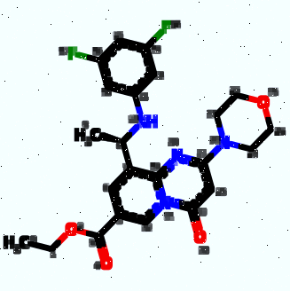 CCOC(=O)c1cc([C@@H](C)Nc2cc(F)cc(F)c2)c2nc(N3CCOCC3)cc(=O)n2c1